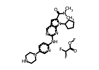 CN(C)C(=O)c1cc2cnc(Nc3ccc(N4CCNCC4)cn3)nc2n1C1CCCC1.O=C(OF)C(F)F